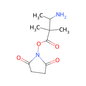 CC(N)C(C)(C)C(=O)ON1C(=O)CCC1=O